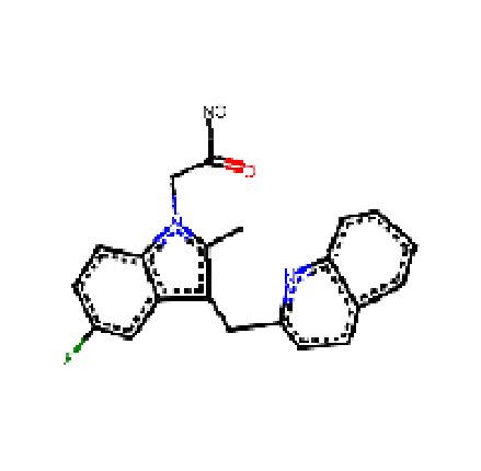 Cc1c(Cc2ccc3ccccc3n2)c2cc(F)ccc2n1CC(=O)N=O